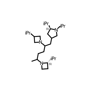 CC(C)C1CN(C(CCC(C)N2CC[C@H]2C(C)C)CC2C[C@@H](C(C)C)N(C(C)C)C2)C1